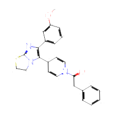 COc1cccc(-c2nc3n(c2C2C=CN(C(=O)Cc4ccccc4)C=C2)CCS3)c1